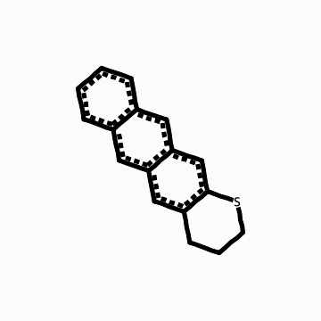 c1ccc2cc3cc4c(cc3cc2c1)CCCS4